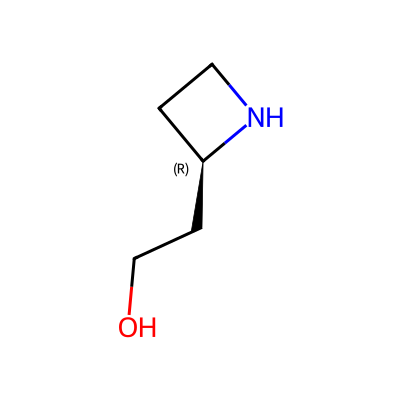 OCC[C@H]1CCN1